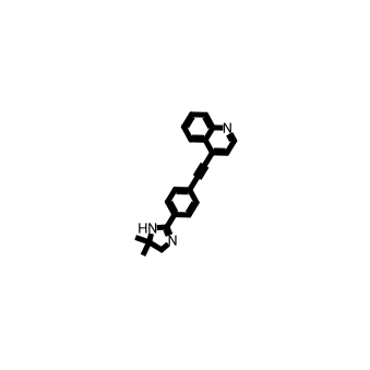 CC1(C)CN=C(c2ccc(C#Cc3ccnc4ccccc34)cc2)N1